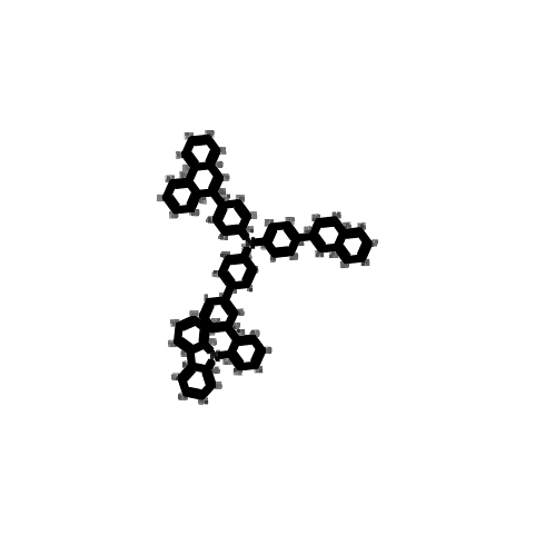 c1cc(-c2ccc(N(c3ccc(-c4ccc5ccccc5c4)cc3)c3ccc(-c4cc5ccccc5c5ccccc45)cc3)cc2)cc(-c2ccccc2-n2c3ccccc3c3ccccc32)c1